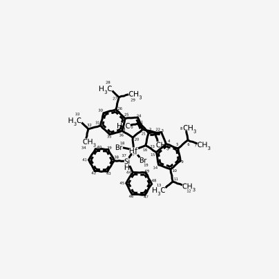 CCC1=Cc2c(C(C)C)cc(C(C)C)cc2[CH]1[Hf]([Br])([Br])([CH]1C(CC)=Cc2c(C(C)C)cc(C(C)C)cc21)[SiH](c1ccccc1)c1ccccc1